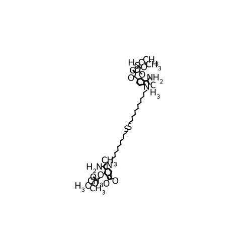 Cc1c(N)c2c3c(ccc2n1CCCCCCCCCCCCSSCCCCCCCCCCCn1c(C)c(N)c2c(OCC(=O)OC(C)(C)C)c4c(=O)c(=O)c4cc21)C(=O)C(=O)C(C(=O)OC(C)(C)C)O3